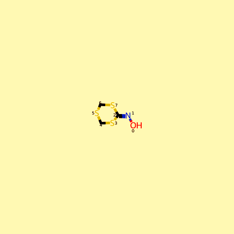 ON=C1SCSCS1